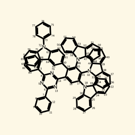 c1ccc(-c2nc(-c3ccccc3)nc(-c3cc(-n4c5ccccc5c5ccccc54)c(-n4c5ccccc5c5ccccc54)c(-n4c5ccccc5c5ccccc54)c3-c3ccc4c(c3)c3ccccc3n4-c3ccccc3)n2)cc1